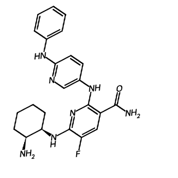 NC(=O)c1cc(F)c(N[C@@H]2CCCC[C@@H]2N)nc1Nc1ccc(Nc2ccccc2)nc1